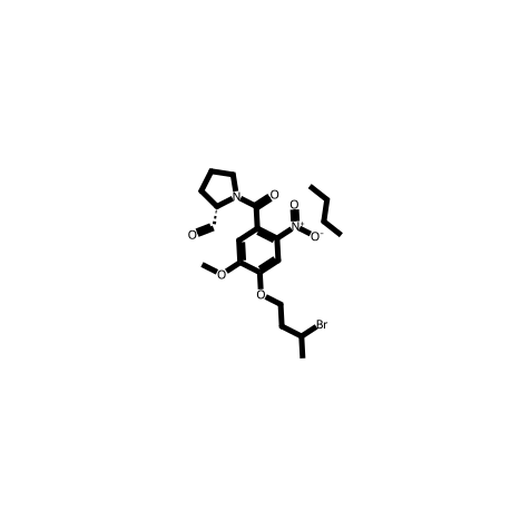 CCCC.COc1cc(C(=O)N2CCC[C@H]2C=O)c([N+](=O)[O-])cc1OCCC(C)Br